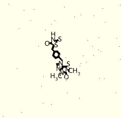 Cn1c(=S)c2c(ncn2Cc2ccc(/C=C3\SC(=S)NC3=O)cc2)n(C)c1=O